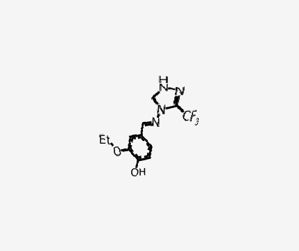 CCOc1cc(C=NN2CNN=C2C(F)(F)F)ccc1O